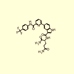 NC(=O)CC[C@H](NC(=O)c1c[nH]c2ccc(-c3cccc(C(=O)Nc4ccc(C(F)(F)F)cc4)n3)cc12)C(N)=O